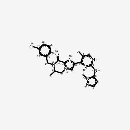 Cc1cnc(Nc2ccnn2C)nc1-c1cn2c(n1)C(=O)N(Cc1cccc(Cl)c1)C(C)C2